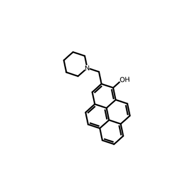 Oc1c(CN2CCCCC2)cc2ccc3cccc4ccc1c2c34